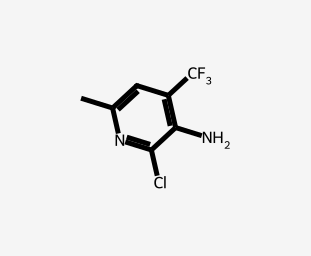 Cc1cc(C(F)(F)F)c(N)c(Cl)n1